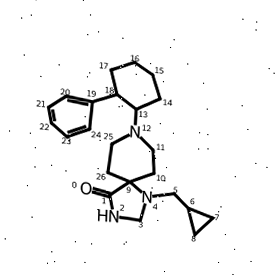 O=C1NCN(CC2CC2)C12CCN(C1CCCCC1c1ccccc1)CC2